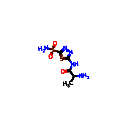 CC(N)C(=O)Nc1nnc(S(N)(=O)=O)s1